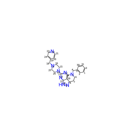 c1ccc(CN2CCc3n[nH]c4nc(N5CCN(Cc6ccncc6)CC5)nc2c34)cc1